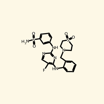 NS(=O)(=O)c1cccc(Nc2ncc(F)c(Nc3ccccc3CN3CCS(=O)(=O)CC3)n2)c1